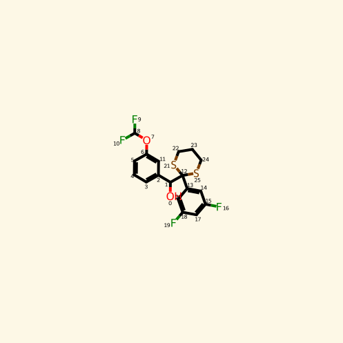 OC(c1cccc(OC(F)F)c1)C1(c2cc(F)cc(F)c2)SCCCS1